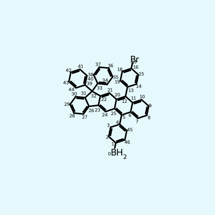 Bc1ccc(-c2c3ccccc3c(-c3ccc(Br)cc3)c3cc4c(cc23)-c2ccccc2C4(c2ccccc2)c2ccccc2)cc1